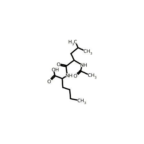 CCCCC(NC(=O)C(CC(C)C)NC(C)=O)C(=O)O